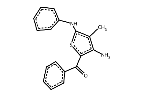 Cc1c(Nc2ccccc2)sc(C(=O)c2ccccc2)c1N